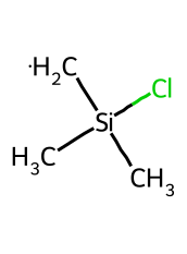 [CH2][Si](C)(C)Cl